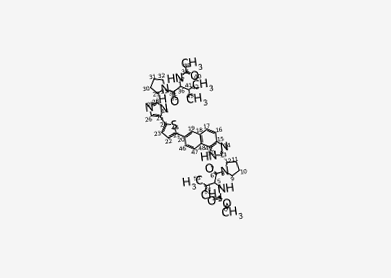 COC(=O)NC(C(=O)N1CCC[C@H]1c1nc2ccc3cc(-c4ccc(-c5cnc([C@@H]6CCCN6C(=O)C(NC(C)=O)C(C)C)[nH]5)s4)ccc3c2[nH]1)C(C)C